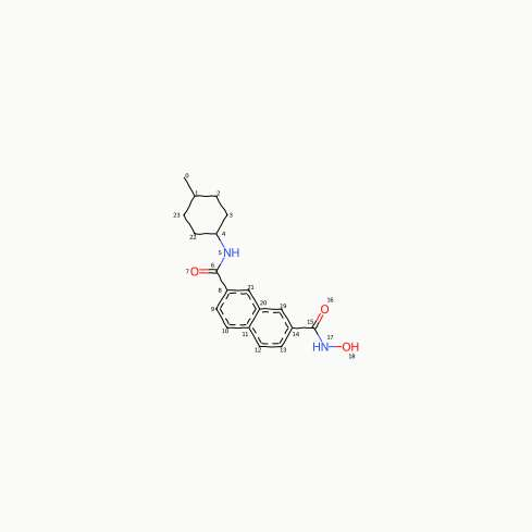 CC1CCC(NC(=O)c2ccc3ccc(C(=O)NO)cc3c2)CC1